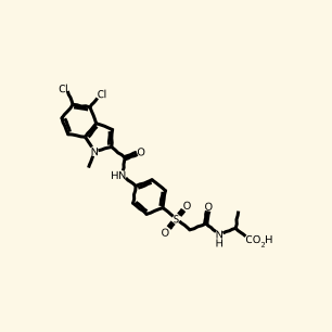 CC(NC(=O)CS(=O)(=O)c1ccc(NC(=O)c2cc3c(Cl)c(Cl)ccc3n2C)cc1)C(=O)O